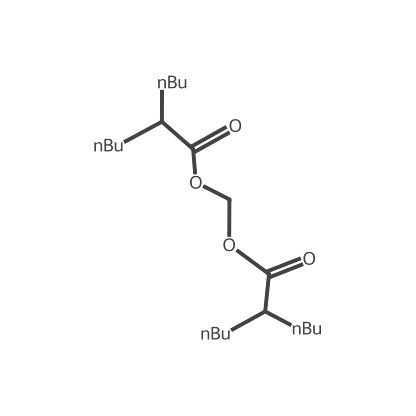 CCCCC(CCCC)C(=O)OCOC(=O)C(CCCC)CCCC